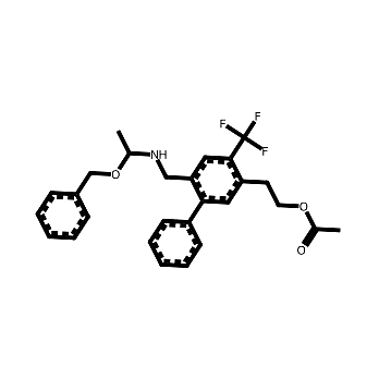 CC(=O)OCCc1cc(-c2ccccc2)c(CNC(C)OCc2ccccc2)cc1C(F)(F)F